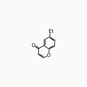 CCc1ccc2occc(=O)c2c1